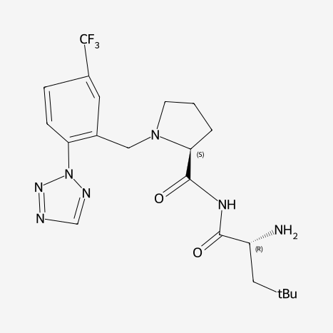 CC(C)(C)C[C@@H](N)C(=O)NC(=O)[C@@H]1CCCN1Cc1cc(C(F)(F)F)ccc1-n1ncnn1